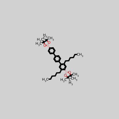 CCCCCCc1cc(-c2ccc(-c3ccc(B4OC(C)(C)C(C)(C)O4)cc3)cc2)c(CCCCCC)cc1B1OC(C)(C)C(C)(C)O1